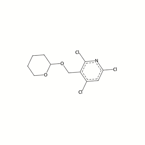 Clc1cc(Cl)c(COC2CCCCO2)c(Cl)n1